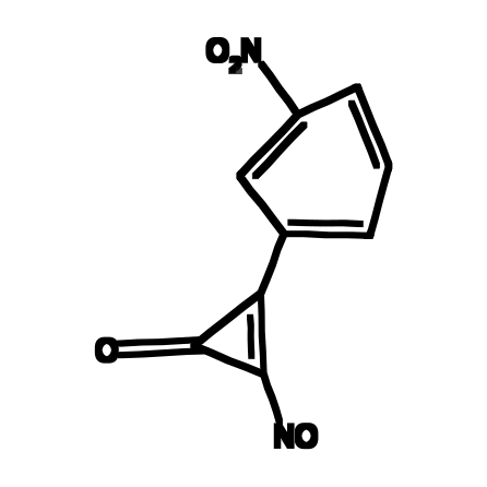 O=Nc1c(-c2cccc([N+](=O)[O-])c2)c1=O